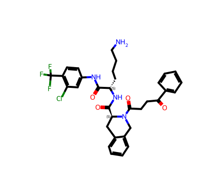 NCCCC[C@H](NC(=O)[C@@H]1Cc2ccccc2CN1C(=O)CCC(=O)c1ccccc1)C(=O)Nc1ccc(C(F)(F)F)c(Cl)c1